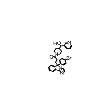 O=C(CCC1(c2ccc(Br)cc2)c2ccccc2-c2nccn21)N1CCC(C(O)c2cccnc2)CC1